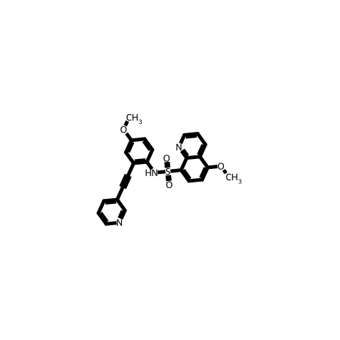 COc1ccc(NS(=O)(=O)c2ccc(OC)c3cccnc23)c(C#Cc2cccnc2)c1